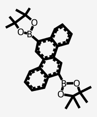 CC1(C)OB(c2cc3c4ccccc4c(B4OC(C)(C)C(C)(C)O4)cc3c3ccccc23)OC1(C)C